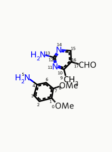 COc1ccc(N)cc1OC.Cc1nc(N)ncc1C=O